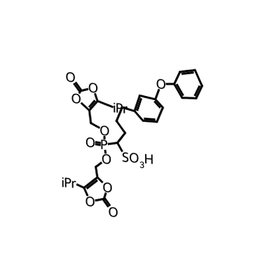 CC(C)c1oc(=O)oc1COP(=O)(OCc1oc(=O)oc1C(C)C)C(CCCc1cccc(Oc2ccccc2)c1)S(=O)(=O)O